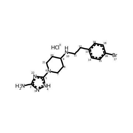 Cl.Nc1n[nH]c(N2CCC(NCCc3ccc(Br)cc3)CC2)n1